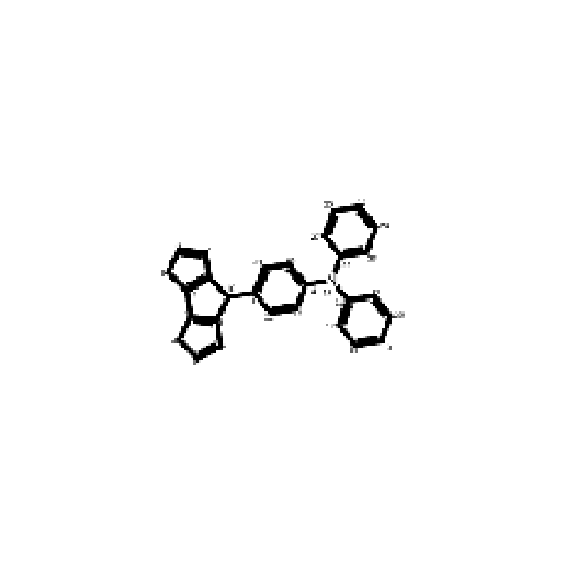 C1=CC2=C(C1)C1=C(C=CC1)C2c1ccc(N(c2ccccc2)c2ccccc2)cc1